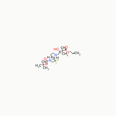 C=CCOC(=O)C(C)(C)[C@H](O)CN1CC[C@H]2[C@@H]1C(F)(F)CN2C(=O)OC(C)(C)C